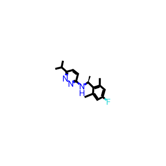 Cc1cc(F)cc(C)c1[C@H](C)Nc1ccc(C(C)C)nn1